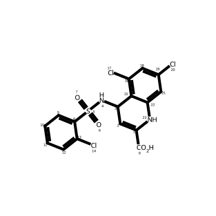 O=C(O)C1=CC(NS(=O)(=O)c2ccccc2Cl)c2c(Cl)cc(Cl)cc2N1